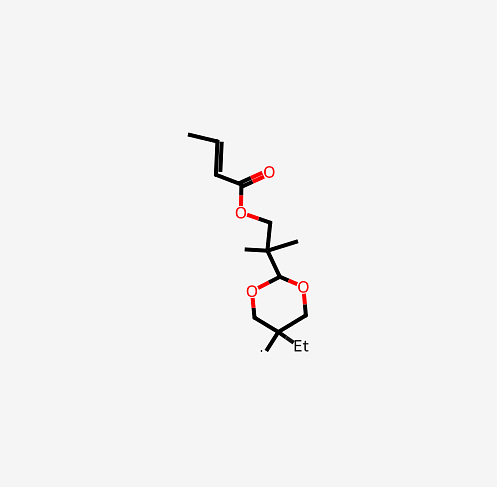 [CH2]C1(CC)COC(C(C)(C)COC(=O)C=CC)OC1